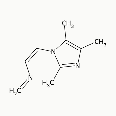 C=N/C=C\n1c(C)nc(C)c1C